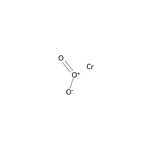 O=[O+][O-].[Cr]